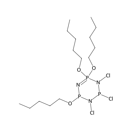 CCCCCOP1N=P(OCCCCC)(OCCCCC)N(Cl)P(Cl)N1Cl